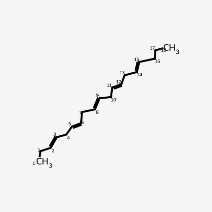 CCC=CCC=CCC=CCC=CCC=CCCC